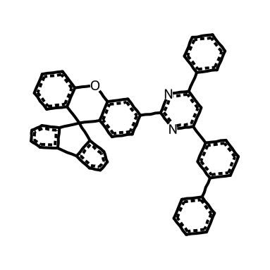 c1ccc(-c2cccc(-c3cc(-c4ccccc4)nc(-c4ccc5c(c4)Oc4ccccc4C54c5ccccc5-c5ccccc54)n3)c2)cc1